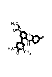 CC[S+]([O-])c1ccc(Nc2ccc(F)cc2F)c(-c2cc(C)c(=O)n(C)c2)c1